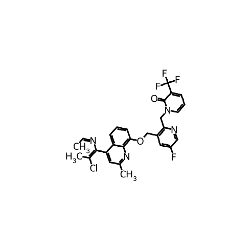 C/C=N\C(=C(/C)Cl)c1cc(C)nc2c(OCc3cc(F)cnc3Cn3cccc(C(F)(F)F)c3=O)cccc12